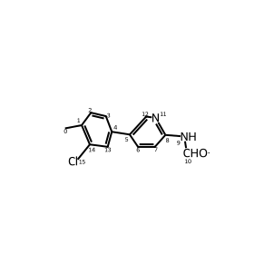 Cc1ccc(-c2ccc(N[C]=O)nc2)cc1Cl